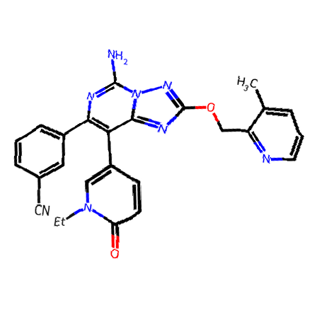 CCn1cc(-c2c(-c3cccc(C#N)c3)nc(N)n3nc(OCc4ncccc4C)nc23)ccc1=O